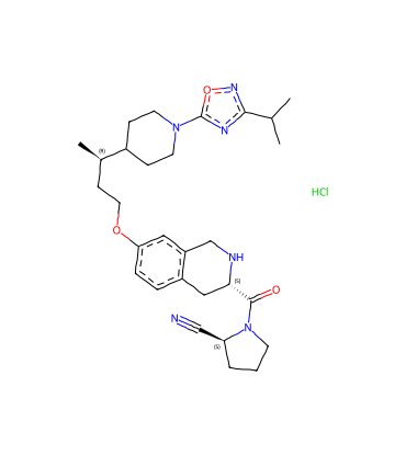 CC(C)c1noc(N2CCC([C@H](C)CCOc3ccc4c(c3)CN[C@H](C(=O)N3CCC[C@H]3C#N)C4)CC2)n1.Cl